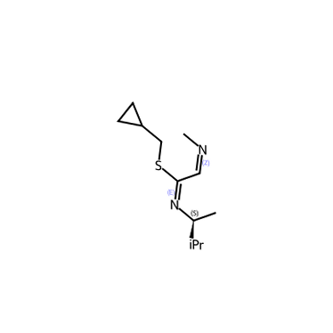 C/N=C\C(=N/[C@@H](C)C(C)C)SCC1CC1